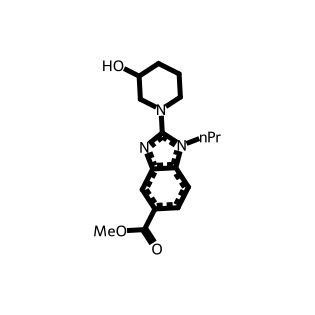 CCCn1c(N2CCCC(O)C2)nc2cc(C(=O)OC)ccc21